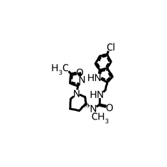 Cc1cc(N2CCC[C@@H](N(C)C(=O)NCc3cc4cc(Cl)ccc4[nH]3)C2)no1